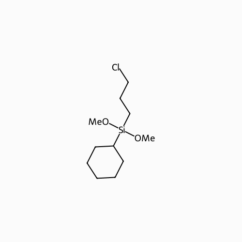 CO[Si](CCCCl)(OC)C1CCCCC1